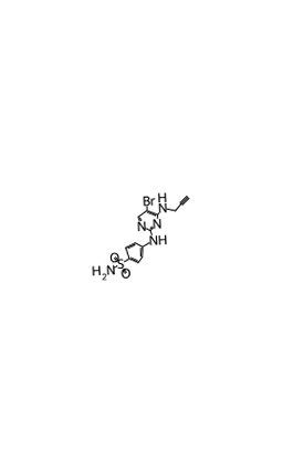 C#CCNc1nc(Nc2ccc(S(N)(=O)=O)cc2)ncc1Br